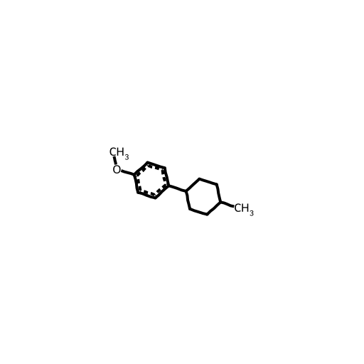 COc1ccc(C2CCC(C)CC2)cc1